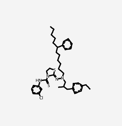 CCCCCC(CCCCCCN(CC(C)Cc1ccc(CC)cc1)/N=C1\SCCN1C(=S)Nc1cccc(Cl)c1)c1ccccc1